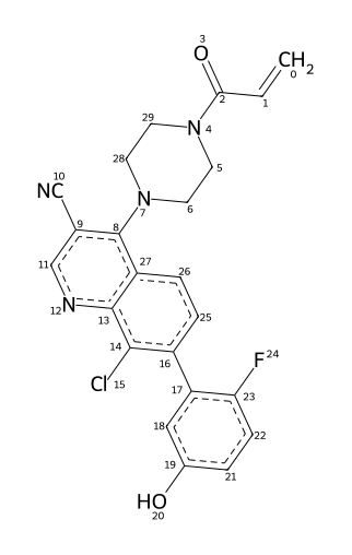 C=CC(=O)N1CCN(c2c(C#N)cnc3c(Cl)c(-c4cc(O)ccc4F)ccc23)CC1